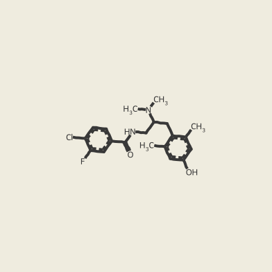 Cc1cc(O)cc(C)c1CC(CNC(=O)c1ccc(Cl)c(F)c1)N(C)C